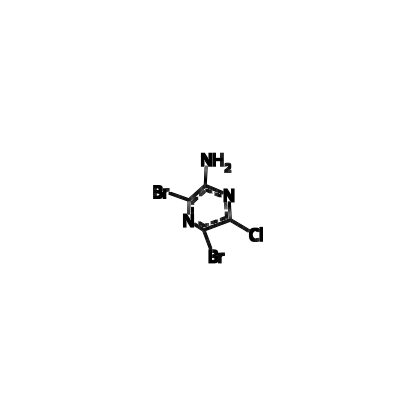 Nc1nc(Cl)c(Br)nc1Br